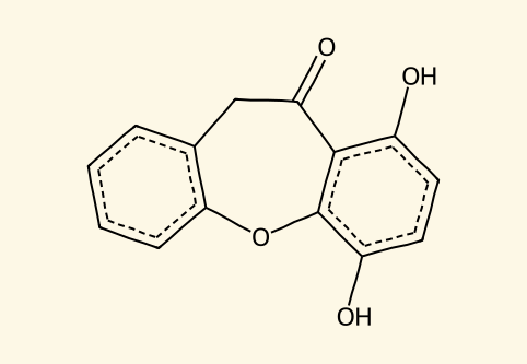 O=C1Cc2ccccc2Oc2c(O)ccc(O)c21